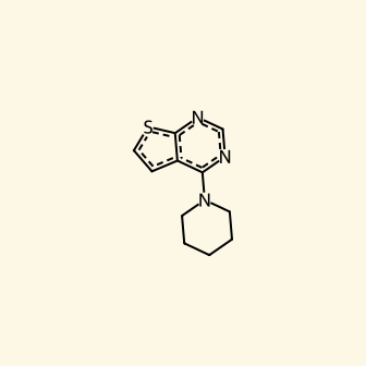 c1nc(N2CCCCC2)c2ccsc2n1